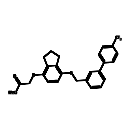 COC(=O)COc1ccc(SCc2cccc(-c3ccc(C(F)(F)F)cc3)c2)c2c1CCC2